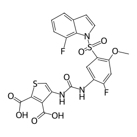 COc1cc(F)c(NC(=O)Nc2csc(C(=O)O)c2C(=O)O)cc1S(=O)(=O)n1ccc2cccc(F)c21